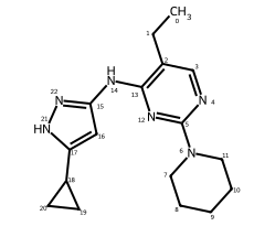 CCc1cnc(N2CCCCC2)nc1Nc1cc(C2CC2)[nH]n1